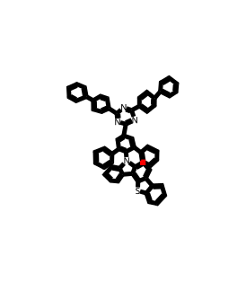 c1ccc(-c2ccc(-c3nc(-c4ccc(-c5ccccc5)cc4)nc(-c4cc(-c5ccccc5)c(-n5c6ccccc6c6c7sc8ccccc8c7ccc65)c(-c5ccccc5)c4)n3)cc2)cc1